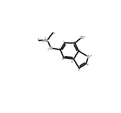 C[SiH](C)Oc1cc(Cl)c2occc2c1